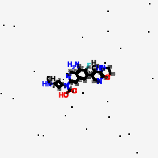 CN[C@H]1C[C@H](N(C(=O)O)c2cc3cc(-c4cnc5c(c4C)NCCO5)c(F)c(N)c3cn2)C1